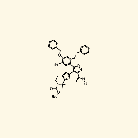 CCNC(=O)c1noc(-c2cc(C(C)C)c(OCc3ccccc3)cc2OCc2ccccc2)c1-c1cc2c(s1)C(C)(C)N(C(=O)OC(C)(C)C)CC2